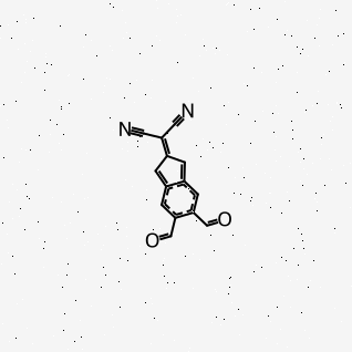 N#CC(C#N)=C1C=c2cc(C=O)c(C=O)cc2=C1